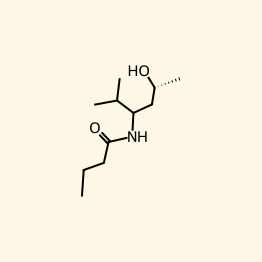 CCCC(=O)NC(C[C@@H](C)O)C(C)C